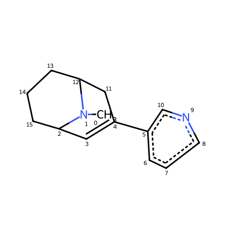 CN1C2C=C(c3cccnc3)CC1CCC2